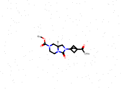 COC(=O)C12CC(N3C[C@@H]4CN(C(=O)OC(C)(C)C)CCN4C3=O)(C1)C2